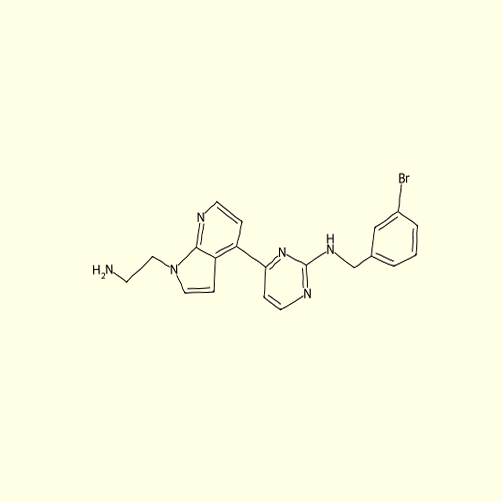 NCCn1ccc2c(-c3ccnc(NCc4cccc(Br)c4)n3)ccnc21